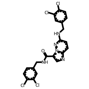 O=C(NCc1ccc(Cl)c(Cl)c1)c1cnc2ccc(NCc3ccc(Cl)c(Cl)c3)nn12